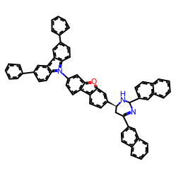 c1ccc(-c2ccc3c(c2)c2cc(-c4ccccc4)ccc2n3-c2ccc3c(c2)oc2cc([C@@H]4CC(c5ccc6ccccc6c5)=NC(c5ccc6ccccc6c5)N4)ccc23)cc1